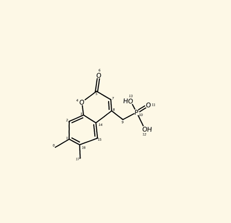 Cc1cc2oc(=O)cc(CP(=O)(O)O)c2cc1C